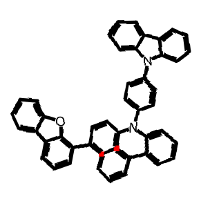 c1ccc(-c2ccccc2N(c2ccc(-c3cccc4c3oc3ccccc34)cc2)c2ccc(-n3c4ccccc4c4ccccc43)cc2)cc1